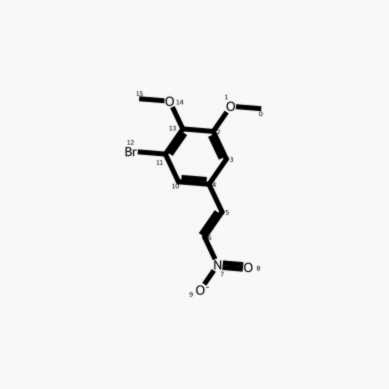 COc1cc(/C=C/[N+](=O)[O-])cc(Br)c1OC